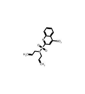 C=CCN(CC=C)S(=O)(=O)c1cc([N+](=O)[O-])c2ccccc2n1